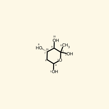 CC1(O)OC(O)C[C@H](O)C1O